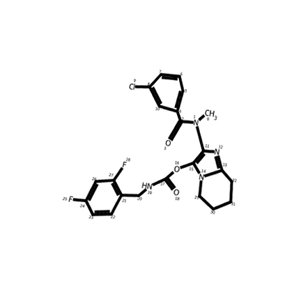 CN(C(=O)c1cccc(Cl)c1)c1nc2n(c1OC(=O)NCc1ccc(F)cc1F)CCCC2